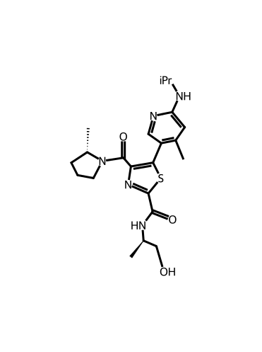 Cc1cc(NC(C)C)ncc1-c1sc(C(=O)N[C@H](C)CO)nc1C(=O)N1CCC[C@@H]1C